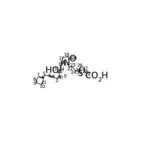 C[C@H](CC#CCc1ccccc1)[C@H](O)C=C[C@H]1CCC(=O)N1CCCc1ccc(C(=O)O)s1